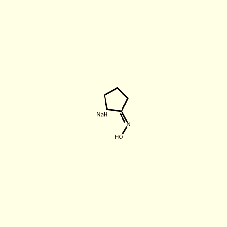 ON=C1CCCC1.[NaH]